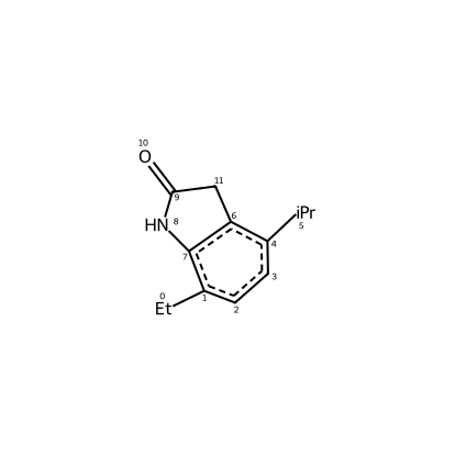 CCc1ccc(C(C)C)c2c1NC(=O)C2